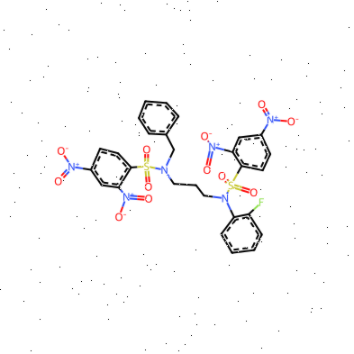 O=[N+]([O-])c1ccc(S(=O)(=O)N(CCCN(c2ccccc2F)S(=O)(=O)c2ccc([N+](=O)[O-])cc2[N+](=O)[O-])Cc2ccccc2)c([N+](=O)[O-])c1